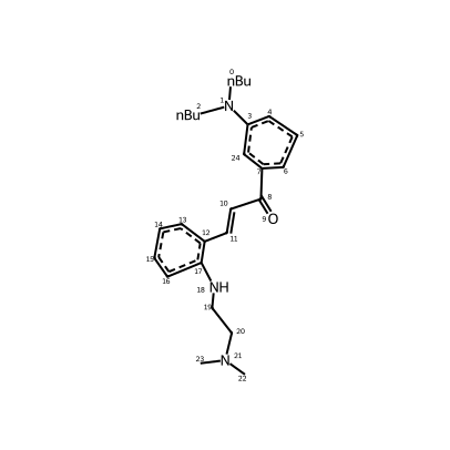 CCCCN(CCCC)c1cccc(C(=O)C=Cc2ccccc2NCCN(C)C)c1